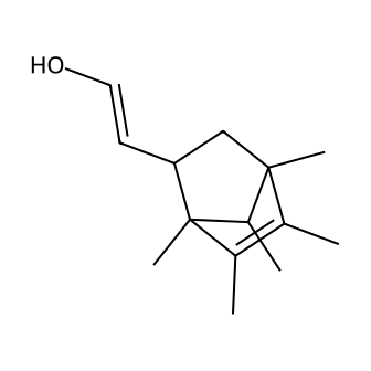 CC1=C(C)C2(C)C(/C=C/O)CC1(C)C2C